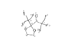 FC(F)(F)C(Cl)C1(C(F)(F)F)OCCO1